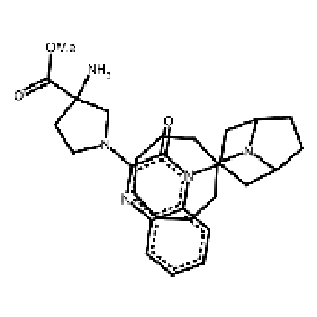 COC(=O)C1(N)CCN(c2nc3ccccc3n(C3CC4CCC(C3)N4C3CCCCCCC3)c2=O)C1